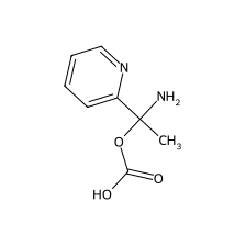 CC(N)(OC(=O)O)c1ccccn1